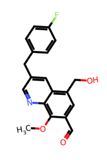 COc1c(C=O)cc(CO)c2cc(Cc3ccc(F)cc3)cnc12